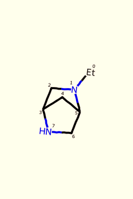 [CH2]CN1CC2CC1CN2